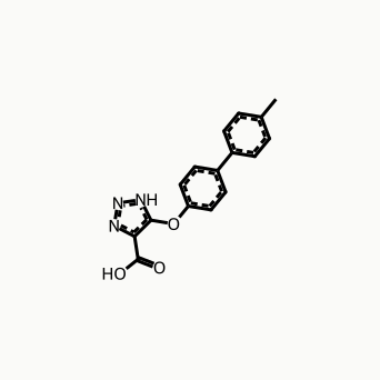 Cc1ccc(-c2ccc(Oc3[nH]nnc3C(=O)O)cc2)cc1